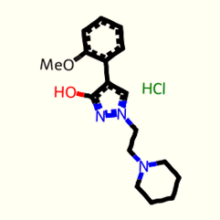 COc1ccccc1-c1cn(CCN2CCCCC2)nc1O.Cl